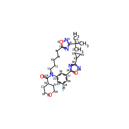 CC(C)(C)c1noc(CCCCCN(C(=O)C2CCOCC2)c2cc(F)cc(-c3nc(C4CC4)no3)c2)n1